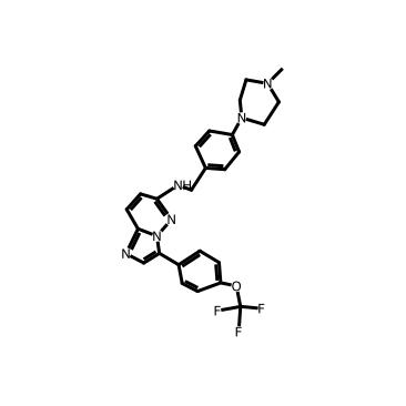 CN1CCN(c2ccc(CNc3ccc4ncc(-c5ccc(OC(F)(F)F)cc5)n4n3)cc2)CC1